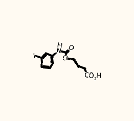 O=C(O)CCCOC(=O)Nc1cccc(I)c1